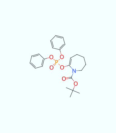 CC(C)(C)OC(=O)N1CCCCC=C1OP(=O)(Oc1ccccc1)Oc1ccccc1